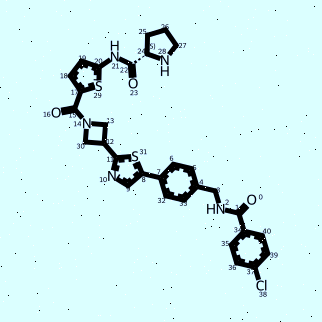 O=C(NCc1ccc(-c2cnc(C3CN(C(=O)c4ccc(NC(=O)[C@@H]5CCCN5)s4)C3)s2)cc1)c1ccc(Cl)cc1